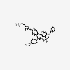 CCCCNc1ncc(-c2cc(C(F)(F)F)c(CN3CCCC3)cn2)c(N[C@H]2CC[C@H](O)CC2)n1